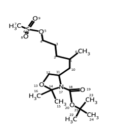 CC(CCCOS(C)(=O)=O)CC1COC(C)(C)N1C(=O)OC(C)(C)C